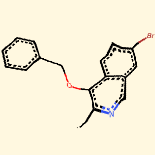 [CH2]c1ncc2cc(Br)ccc2c1OCc1ccccc1